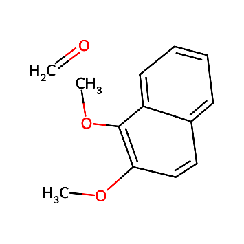 C=O.COc1ccc2ccccc2c1OC